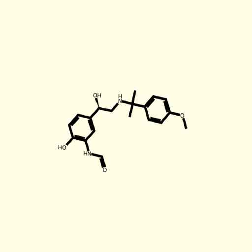 COc1ccc(C(C)(C)NC[C@H](O)c2ccc(O)c(NC=O)c2)cc1